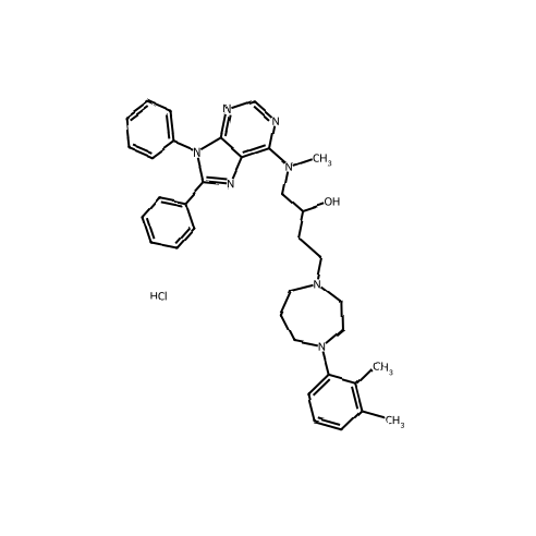 Cc1cccc(N2CCCN(CCC(O)CN(C)c3ncnc4c3nc(-c3ccccc3)n4-c3ccccc3)CC2)c1C.Cl